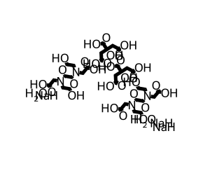 O.O.O=C(O)CC(O)(CC(=O)O)C(=O)O.O=C(O)CC(O)(CC(=O)O)C(=O)O.O=C(O)CN(CCN(CC(=O)O)CC(=O)O)CC(=O)O.O=C(O)CN(CCN(CC(=O)O)CC(=O)O)CC(=O)O.[NaH].[NaH].[NaH]